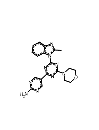 Cc1nc2ccccc2n1-c1nc(-c2cnc(N)nc2)nc(N2CCOCC2)n1